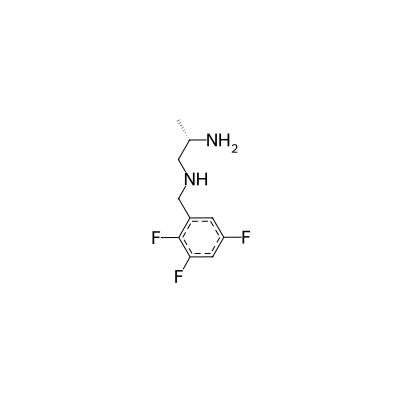 C[C@H](N)CNCc1cc(F)cc(F)c1F